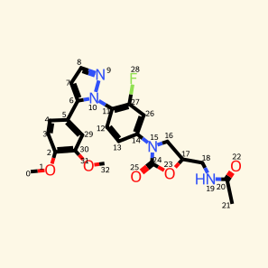 COc1ccc(-c2ccnn2-c2ccc(N3CC(CNC(C)=O)OC3=O)cc2F)cc1OC